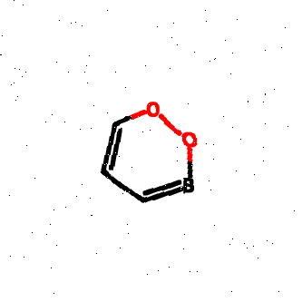 B1=CC=COO1